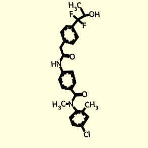 Cc1cc(Cl)ccc1N(C)C(=O)c1ccc(NC(=O)Cc2ccc(C(F)(F)C(C)O)cc2)cc1